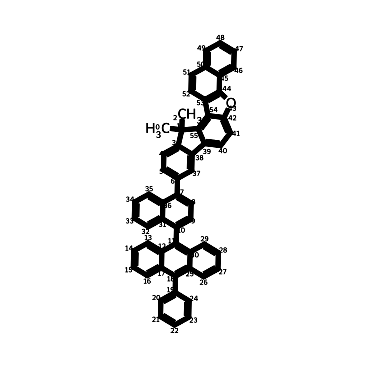 CC1(C)c2ccc(-c3ccc(-c4c5ccccc5c(-c5ccccc5)c5ccccc45)c4ccccc34)cc2-c2ccc3oc4c5ccccc5ccc4c3c21